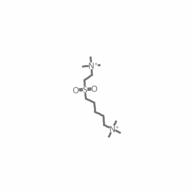 C[N+](C)(C)CCCCCS(=O)(=O)CC[N+](C)(C)C